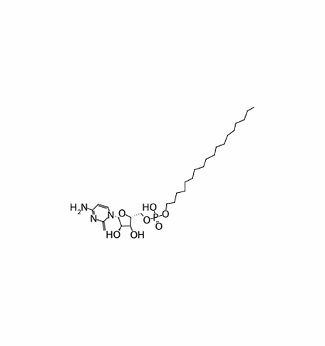 C=C1N=C(N)C=CN1[C@@H]1O[C@H](COP(=O)(O)OCCCCCCCCCCCCCCCCCC)C(O)[C@H]1O